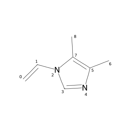 C=Cn1cnc(C)c1C